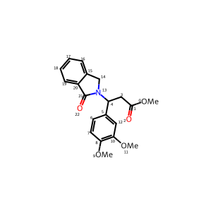 COC(=O)CC(c1ccc(OC)c(OC)c1)N1Cc2ccccc2C1=O